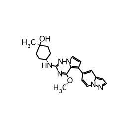 COc1nc(N[C@H]2CC[C@](C)(O)CC2)nn2ccc(-c3ccn4nccc4c3)c12